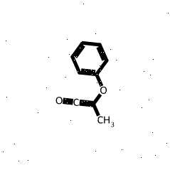 CC(=C=O)Oc1ccccc1